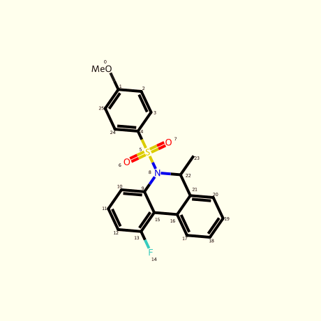 COc1ccc(S(=O)(=O)N2c3cccc(F)c3-c3ccccc3C2C)cc1